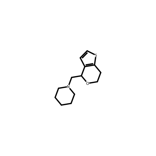 c1cc2c(s1)CCOC2CN1CCCCC1